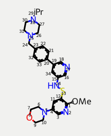 COc1ncc(N2CCOCC2)cc1SNc1cncc(-c2ccc(CN3CCN(C(C)C)CC3)cc2)c1